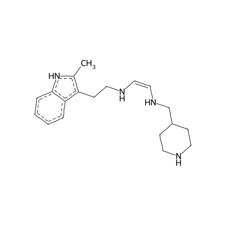 Cc1[nH]c2ccccc2c1CCN/C=C\NCC1CCNCC1